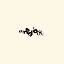 CCC(C)/C(C)=C(/c1cc2nccc(Oc3ccc(NC(=O)CC(C)=O)cc3F)c2s1)C(C)CC